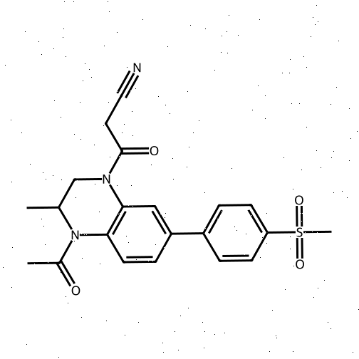 CC(=O)N1c2ccc(-c3ccc(S(C)(=O)=O)cc3)cc2N(C(=O)CC#N)CC1C